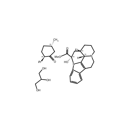 CC(C)[C@H]1CC[C@H](C)CC1=O.CC[C@]12CCCN3CCc4c(n(c5ccccc45)[C@@](O)(C(=O)OC)C1)[C@@H]32.OCC(O)CO